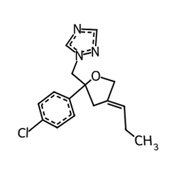 CCC=C1COC(Cn2cncn2)(c2ccc(Cl)cc2)C1